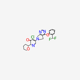 O=C1C(Cl)=C(N2CCc3c(ncnc3Oc3ccccc3C(F)F)C2)C=NC1C1CCCCO1